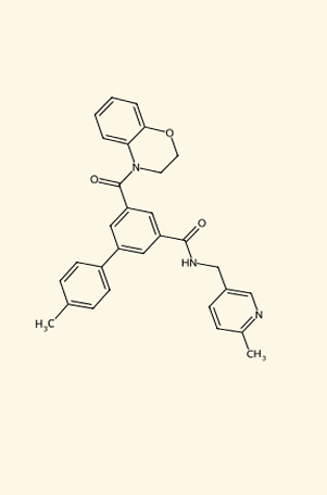 Cc1ccc(-c2cc(C(=O)NCc3ccc(C)nc3)cc(C(=O)N3CCOc4ccccc43)c2)cc1